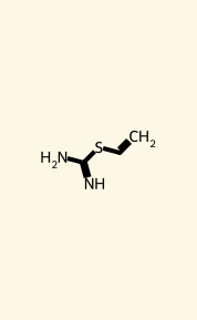 C=CSC(=N)N